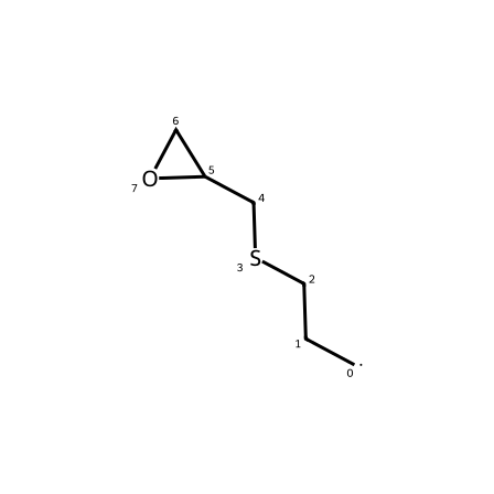 [CH2]CCSCC1CO1